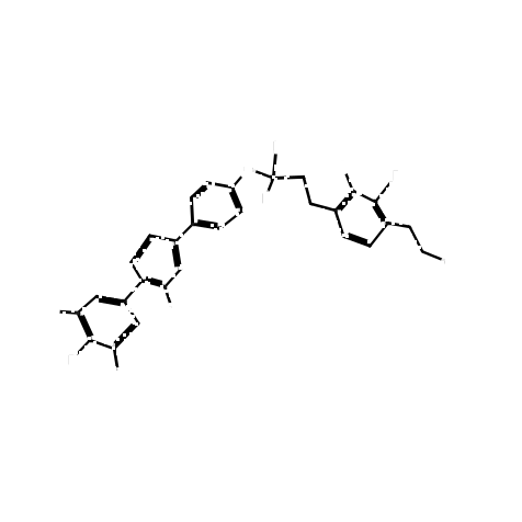 CCCc1ccc(CCC(F)(F)Oc2ccc(-c3ccc(-c4cc(F)c(F)c(F)c4)c(F)c3)cc2)c(F)c1F